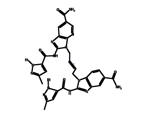 CCn1nc(C)cc1C(=O)Nc1nc2cc(C(N)=O)ccc2n1C/C=C/Cn1c(NC(=O)c2cc(C)nn2CC)nc2cc(C(N)=O)cnc21